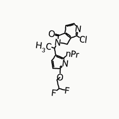 CCCc1nc(OCC(F)F)ccc1C(C)N1Cc2c(ccnc2Cl)C1=O